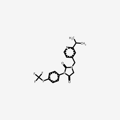 CC(C)c1cc(CN2CC(=O)N(c3ccc(SC(F)(F)F)cc3)C2=O)ccn1